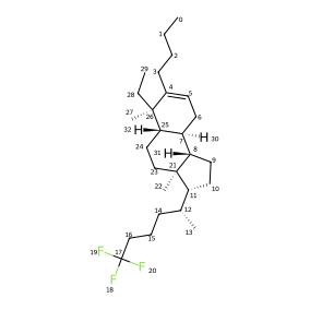 CCCCC1=CC[C@H]2[C@@H]3CC[C@H]([C@H](C)CCCC(F)(F)F)[C@@]3(C)CC[C@@H]2[C@@]1(C)CC